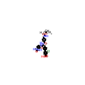 CC(C)(C)OC(=O)NCC1CCC(C(=O)N[C@@H](Cc2ccc(-c3ccc(C(=O)O)cc3Cl)cc2)C(=O)Nc2ccc3[nH]c(=O)[nH]c3c2)CC1